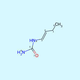 CCC=CNC(N)=O